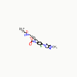 CCC(=O)NCC1OC(=O)N2c3cc(F)c(N4Cc5cn(C)nc5C4)cc3C[C@@H]12